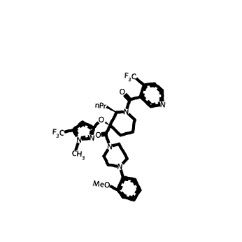 CCC[C@H]1N(C(=O)c2cnccc2C(F)(F)F)CCC[C@@]1(Oc1cc(C(F)(F)F)n(C)n1)C(=O)N1CCN(c2ccccc2OC)CC1